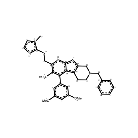 COc1cc(OC)cc(-c2c(C(=O)O)c(CSc3nccn3C)nc3sc4c(c23)CCN(Cc2ccccc2)C4)c1